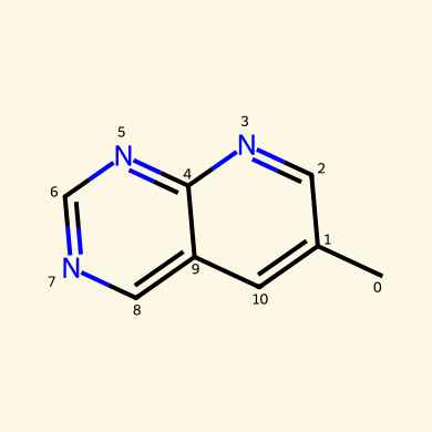 Cc1cnc2ncncc2c1